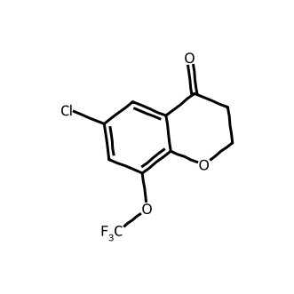 O=C1CCOc2c(OC(F)(F)F)cc(Cl)cc21